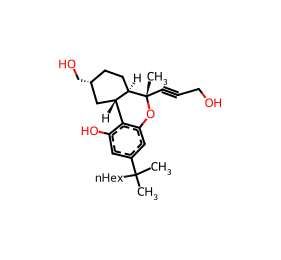 CCCCCCC(C)(C)c1cc(O)c2c(c1)O[C@@](C)(C#CCO)[C@@H]1CC[C@@H](CO)C[C@@H]21